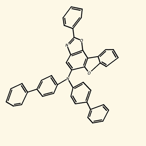 c1ccc(-c2ccc(N(c3ccc(-c4ccccc4)cc3)c3cc4nc(-c5ccccc5)oc4c4c3oc3ccccc34)cc2)cc1